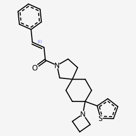 O=C(/C=C/c1ccccc1)N1CCC2(CCC(c3cccs3)(N3CCC3)CC2)C1